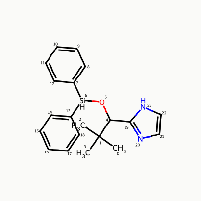 CC(C)(C)C(O[SiH](c1ccccc1)c1ccccc1)c1ncc[nH]1